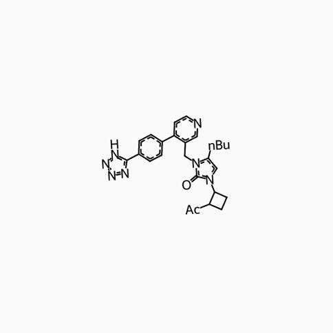 CCCCc1cn(C2CCC2C(C)=O)c(=O)n1Cc1cnccc1-c1ccc(-c2nnn[nH]2)cc1